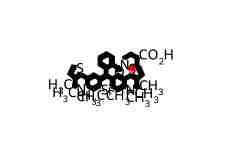 CN1c2cc3c(cc2-c2sccc2C1(C)C)C(c1ccccc1C(=O)N1CCC(C(=O)O)CC1)=c1cc2c(cc1[Si]3(C)C)=[N+](C)C(C)(C)c1ccsc1-2